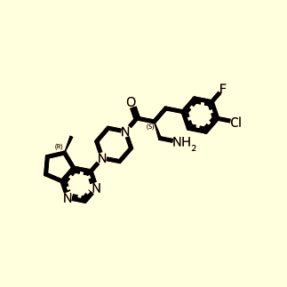 C[C@@H]1CCc2ncnc(N3CCN(C(=O)[C@H](CN)Cc4ccc(Cl)c(F)c4)CC3)c21